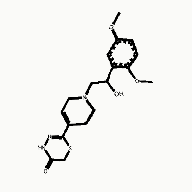 COc1ccc(OC)c(C(O)CN2CC=C(C3=NNC(=O)CS3)CC2)c1